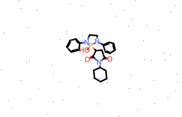 O=C1CC([P]2(O)N(c3ccccc3)CCN2c2ccccc2)C(=O)N1C1CCCCC1